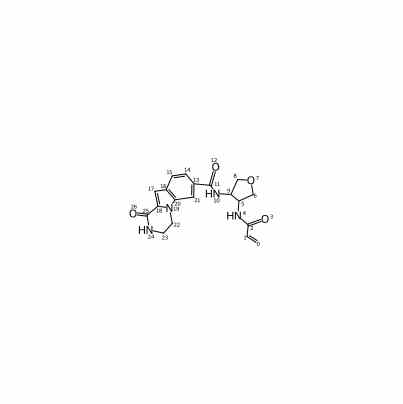 C=CC(=O)NC1COCC1NC(=O)c1ccc2cc3n(c2c1)CCNC3=O